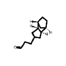 O=CCCC1C[C@@H]2[C@@H]3CC[C@H](C3)[C@H]2C1